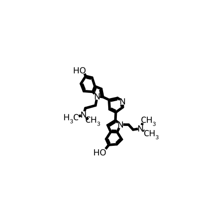 CN(C)CCn1c(-c2cncc(-c3cc4cc(O)ccc4n3CCN(C)C)c2)cc2cc(O)ccc21